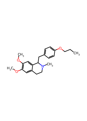 CCCOc1ccc(CC2c3cc(OC)c(OC)cc3CCN2C)cc1